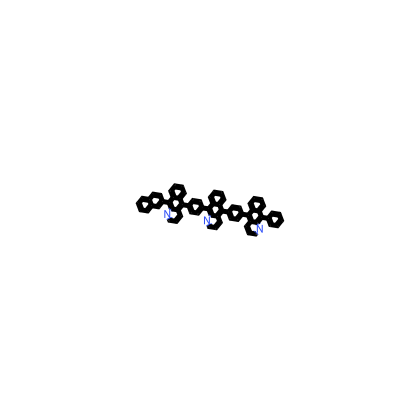 c1ccc(-c2c3ccccc3c(-c3ccc(-c4c5ccccc5c(-c5ccc(-c6c7ccccc7c(-c7ccc8ccccc8c7)c7ncccc67)cc5)c5ncccc45)cc3)c3cccnc23)cc1